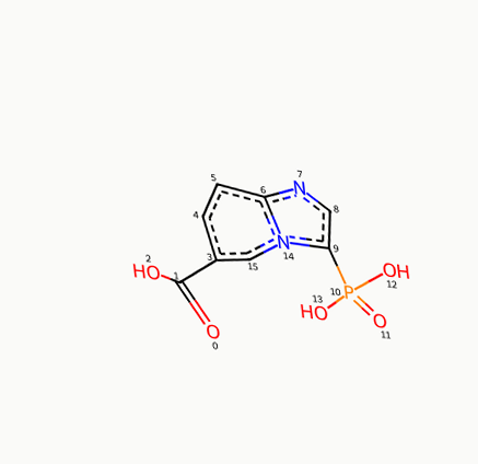 O=C(O)c1ccc2ncc(P(=O)(O)O)n2c1